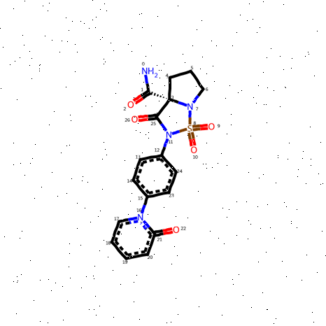 NC(=O)[C@]12[CH]CCN1S(=O)(=O)N(c1ccc(-n3ccccc3=O)cc1)C2=O